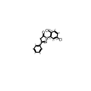 O=C1CC(c2ccccc2)=NN1c1cc(Cl)ccc1Cl